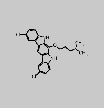 CN(C)CCCOc1c2[nH]c3ccc(Cl)cc3c2cc2c1[nH]c1ccc(Cl)cc12